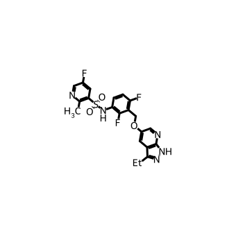 CCc1n[nH]c2ncc(OCc3c(F)ccc(NS(=O)(=O)c4cc(F)cnc4C)c3F)cc12